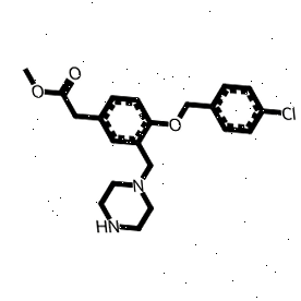 COC(=O)Cc1ccc(OCc2ccc(Cl)cc2)c(CN2CCNCC2)c1